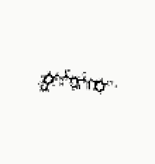 O=C(NCc1cccc(C(F)(F)F)c1)c1cc(C(=O)NCc2ccc3c(c2)CCO3)ncn1